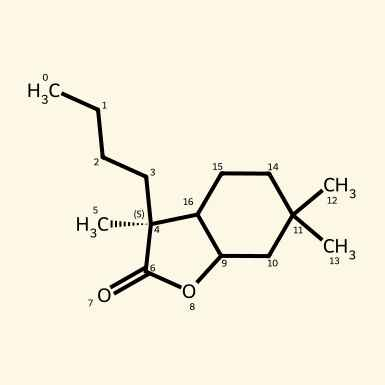 CCCC[C@]1(C)C(=O)OC2CC(C)(C)CCC21